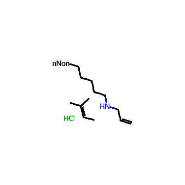 C=CCNCCCCCCCCCCCCCC.CC=C(C)C.Cl